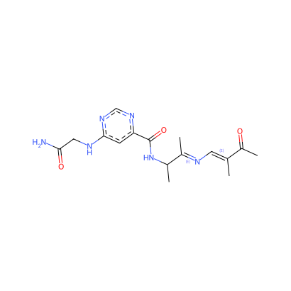 CC(=O)/C(C)=C/N=C(\C)C(C)NC(=O)c1cc(NCC(N)=O)ncn1